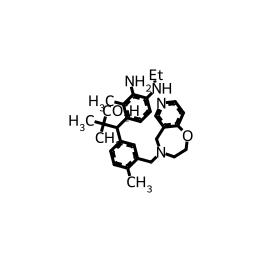 CCNc1ccc(C(c2ccc(C)c(CN3CCOc4ccncc4C3)c2)C(C)(C)C(=O)O)c(C)c1N